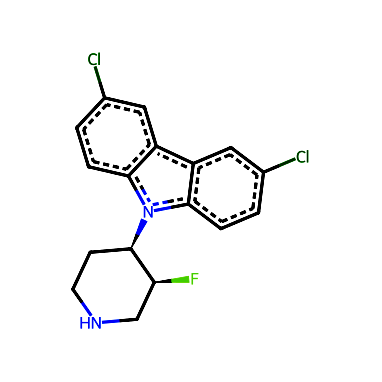 F[C@H]1CNCC[C@H]1n1c2ccc(Cl)cc2c2cc(Cl)ccc21